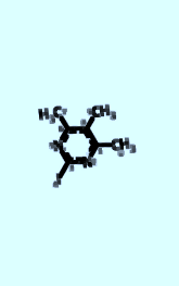 Cc1nc(I)nc(C)c1C